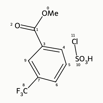 COC(=O)c1cccc(C(F)(F)F)c1.O=S(=O)(O)Cl